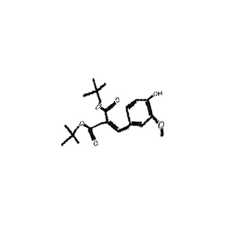 COc1cc(C=C(C(=O)OC(C)(C)C)C(=O)OC(C)(C)C)ccc1O